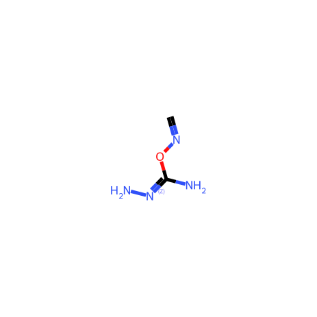 C=NO/C(N)=N\N